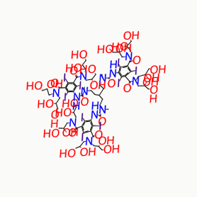 CN(CCC(CCN(C)C(=O)Nc1c(I)c(C(=O)N(CC(O)CO)CC(O)CO)c(I)c(C(=O)N(CC(O)CO)CC(O)CO)c1I)CCN(C)C(=O)Nc1c(I)c(C(=O)N(CC(O)CO)CC(O)CO)c(I)c(C(=O)N(CC(O)CO)CC(O)CO)c1I)C(=O)Nc1c(I)c(C(=O)N(CC(O)CO)CC(O)CO)c(I)c(C(=O)N(CC(O)CO)CC(O)CO)c1I